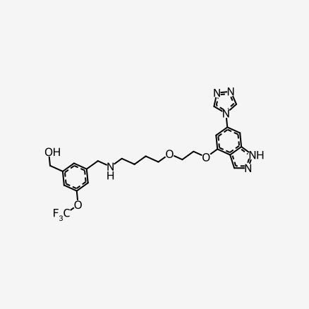 OCc1cc(CNCCCCOCCOc2cc(-n3cnnc3)cc3[nH]ncc23)cc(OC(F)(F)F)c1